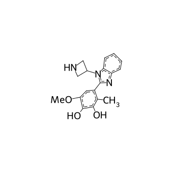 COc1cc(-c2nc3ccccc3n2C2CNC2)c(C)c(O)c1O